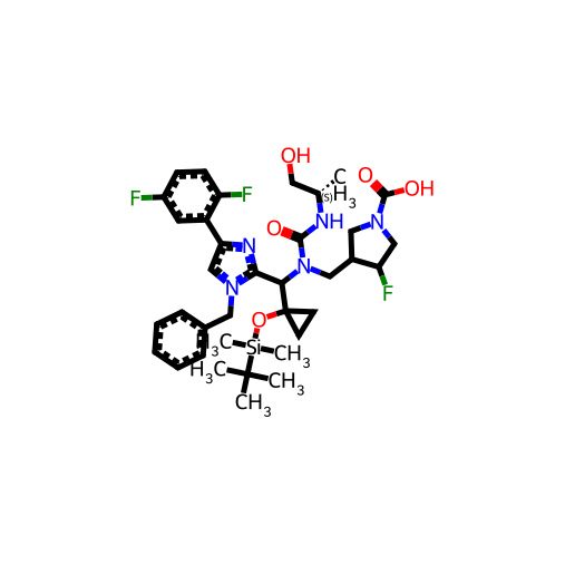 C[C@@H](CO)NC(=O)N(CC1CN(C(=O)O)CC1F)C(c1nc(-c2cc(F)ccc2F)cn1Cc1ccccc1)C1(O[Si](C)(C)C(C)(C)C)CC1